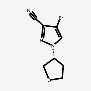 N#Cc1nn([C@@H]2CCOC2)cc1Br